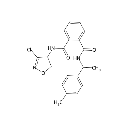 Cc1ccc(C(C)NC(=O)c2ccccc2C(=O)NC2CON=C2Cl)cc1